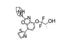 C[C@@H](O)C(F)(F)Oc1ccc(-c2nccs2)c2oc(N3CC4CC(C3)N4)nc12